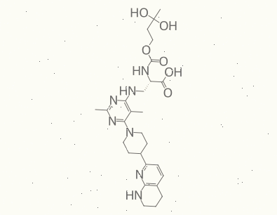 Cc1nc(NC[C@H](NC(=O)OCCC(C)(O)O)C(=O)O)c(C)c(N2CCC(c3ccc4c(n3)NCCC4)CC2)n1